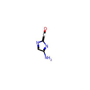 NC1=NC(=C=O)N=C1